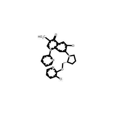 O=C(O)c1cn(-c2ccccn2)c2cc(N3CCC[C@@H]3COc3ncccc3Cl)c(Cl)cc2c1=O